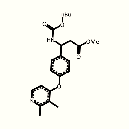 CCCCOC(=O)NC(CC(=O)OC)c1ccc(Oc2ccnc(C)c2C)cc1